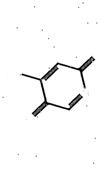 CC(C)(C)C1=CC(=O)N=CC1=O